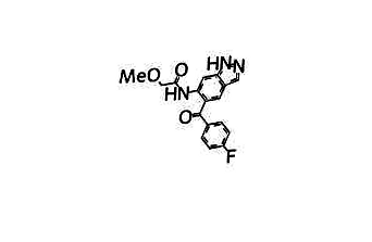 COCC(=O)Nc1cc2[nH]ncc2cc1C(=O)c1ccc(F)cc1